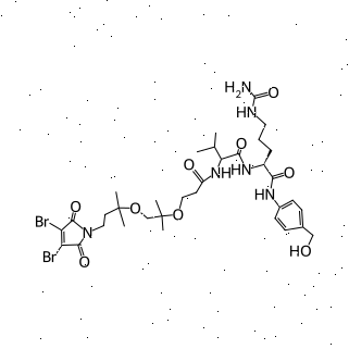 CC(C)C(NC(=O)CCOC(C)(C)COC(C)(C)CCN1C(=O)C(Br)=C(Br)C1=O)C(=O)N[C@@H](CCCNC(N)=O)C(=O)Nc1ccc(CO)cc1